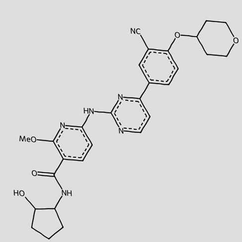 COc1nc(Nc2nccc(-c3ccc(OC4CCOCC4)c(C#N)c3)n2)ccc1C(=O)NC1CCCC1O